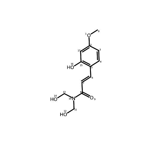 COc1ccc(/C=C/C(=O)N(CO)CO)c(O)c1